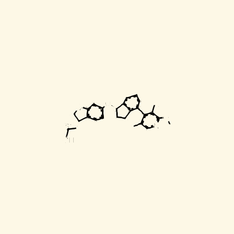 COc1ncc(C)c(-c2cccc3c2CC[C@H]3Oc2ccc3c(c2)OC[C@H]3CC(=O)O)c1C